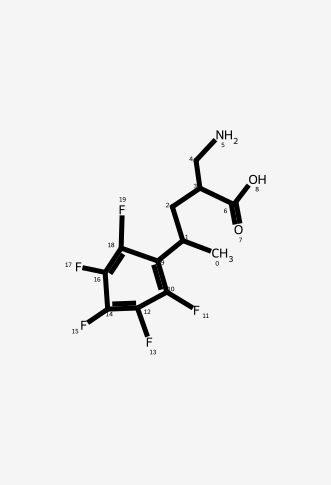 CC(CC(CN)C(=O)O)c1c(F)c(F)c(F)c(F)c1F